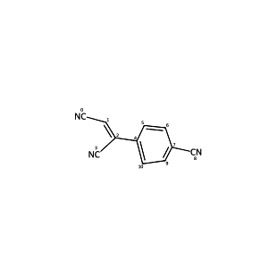 N#C/C=C(\C#N)c1ccc(C#N)cc1